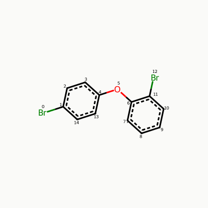 Brc1ccc(Oc2[c]cccc2Br)cc1